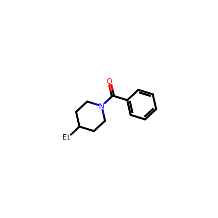 C[CH]C1CCN(C(=O)c2ccccc2)CC1